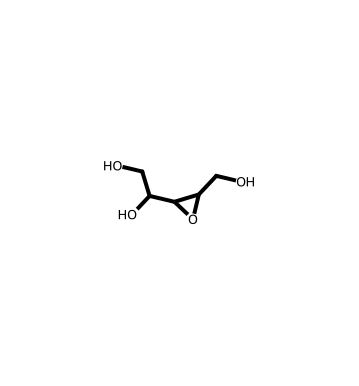 OCC(O)C1OC1CO